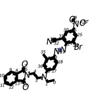 CCN(CCN1C(=O)c2ccccc2C1=O)c1ccc(/N=N/c2c(Br)cc([N+](=O)[O-])cc2C#N)c(C)c1